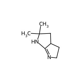 CC1(C)CC2CCN=C2N1